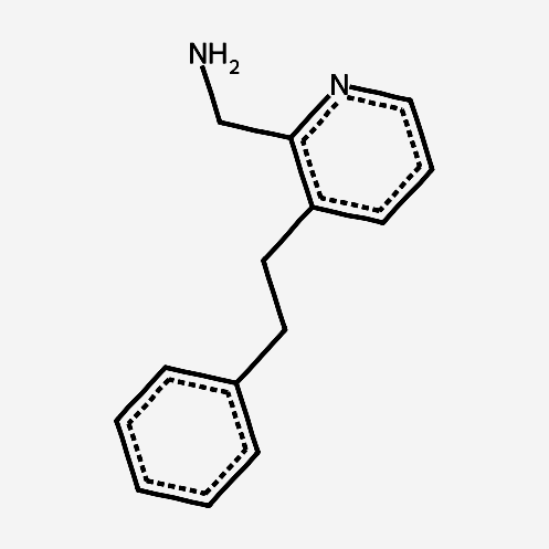 NCc1ncccc1CCc1ccccc1